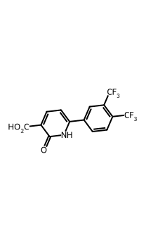 O=C(O)c1ccc(-c2ccc(C(F)(F)F)c(C(F)(F)F)c2)[nH]c1=O